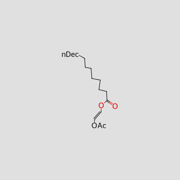 CCCCCCCCCCCCCCCCCC(=O)OC=COC(C)=O